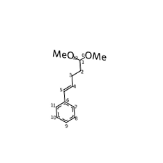 COC(CCC=Cc1ccccc1)OC